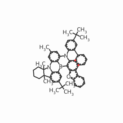 Cc1cc2c3c(c1)N1c4c(cc(C(C)(C)C)cc4C4(C)CCCCC14C)B3c1c(ccc3c1oc1ccccc13)N2c1ccc(C(C)(C)C)cc1-c1ccccc1